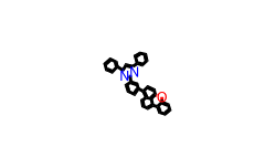 c1ccc(-c2cc(-c3ccccc3)nc(-c3cccc(-c4ccc5c6c(cccc46)-c4ccccc4O5)c3)n2)cc1